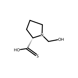 OCN1CCC[C@H]1C(O)=S